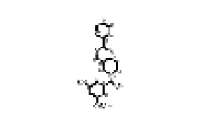 COc1cc(Cl)cc(C(=O)N2CCc3nc(-c4ccccn4)ncc3C2)c1